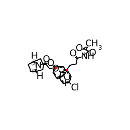 CS(=O)(=O)NC(=O)CCc1cc(Cl)ccc1OCC(=O)N1[C@@H]2CC[C@H]1CC(Oc1ccc(F)cc1)C2